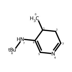 CC1CC=NC=C1NC(C)(C)C